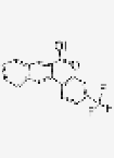 O=C(O)c1cc2ccccc2cc1-c1ccc(C(F)(F)F)cc1